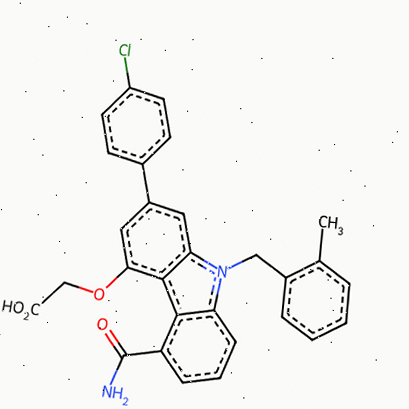 Cc1ccccc1Cn1c2cc(-c3ccc(Cl)cc3)cc(OCC(=O)O)c2c2c(C(N)=O)cccc21